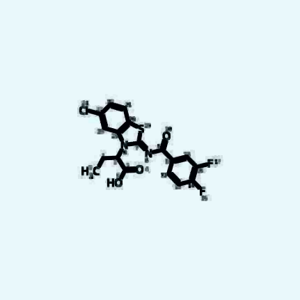 CCC(C(=O)O)n1/c(=N/C(=O)c2ccc(F)c(F)c2)sc2ccc(Cl)cc21